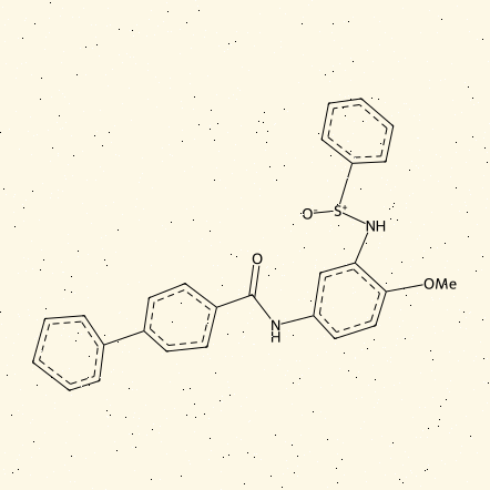 COc1ccc(NC(=O)c2ccc(-c3ccccc3)cc2)cc1N[S+]([O-])c1ccccc1